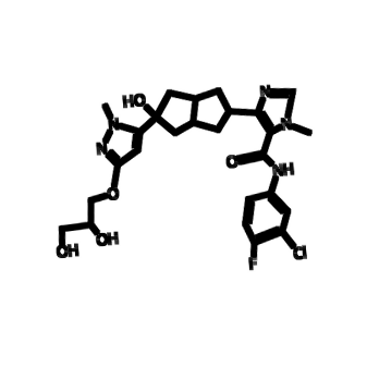 Cn1cnc(C2CC3CC(O)(c4cc(OCC(O)CO)nn4C)CC3C2)c1C(=O)Nc1ccc(F)c(Cl)c1